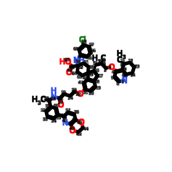 C[C@@H](COc1ccnc2c1[C@H](C)CCC2)C[C@H]1Cc2ccc(OCCCC(=O)N[C@H](C)c3cccc(-c4ccc5c(n4)OCCO5)c3)cc2C12CCC(Nc1cccc(Cl)c1)(C(=O)O)CC2